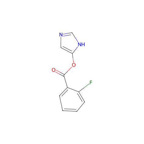 O=C(Oc1cnc[nH]1)c1ccccc1F